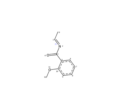 C/C=N/C(=O)c1ccccc1OC